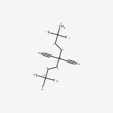 CC(F)(F)CCC(C#N)(C#N)CCC(F)(F)F